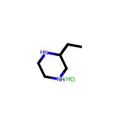 CCC1CNCCN1.Cl